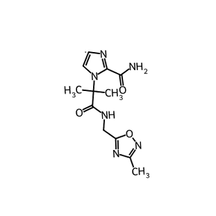 Cc1noc(CNC(=O)C(C)(C)n2c[c]nc2C(N)=O)n1